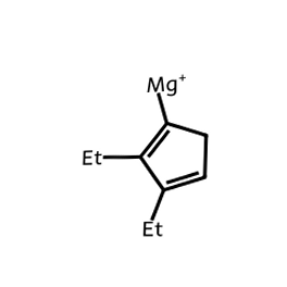 CCC1=CC[C]([Mg+])=C1CC